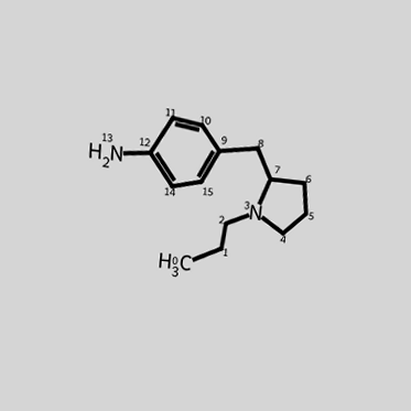 CCCN1CCCC1Cc1ccc(N)cc1